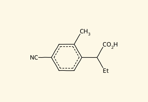 CCC(C(=O)O)c1ccc(C#N)cc1C